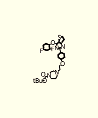 CC(C)(C)OC(=O)N1CCCN(CCOc2ccc(-c3nc(Oc4ccc(F)cc4F)c4sccc4n3)cc2)CC1